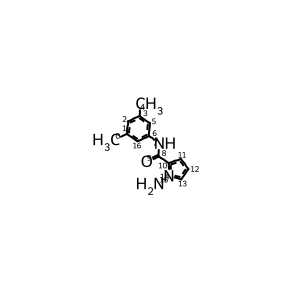 Cc1cc(C)cc(NC(=O)c2cccn2N)c1